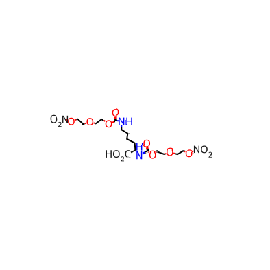 O=C(NCCCCC(NC(=O)OCCOCCO[N+](=O)[O-])C(=O)O)OCCOCCO[N+](=O)[O-]